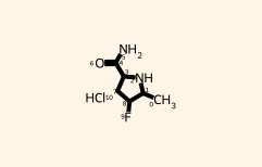 CC1NC(C(N)=O)CC1F.Cl